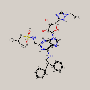 CCn1cnc([C@H]2O[C@@H](n3cnc4c(NCC(c5ccccc5)c5ccccc5)nc(CNS(=O)(=O)CC(C)C)nc43)[C@H](O)[C@@H]2O)n1